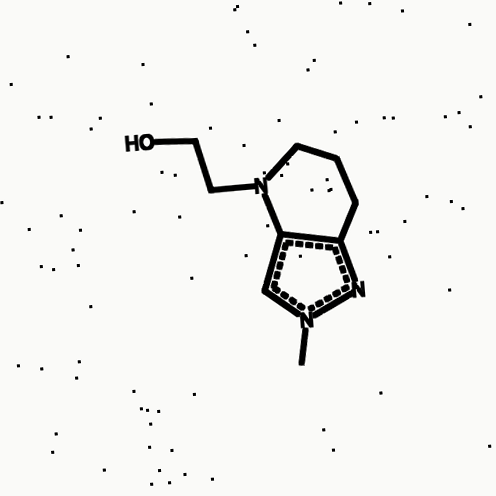 Cn1cc2c(n1)CCCN2CCO